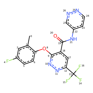 Cc1cc(F)ccc1Oc1nnc(C(F)(F)F)cc1C(=O)Nc1ccnnc1